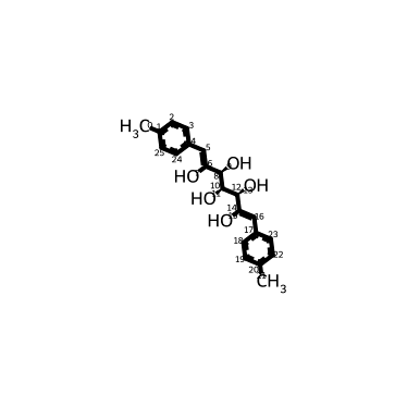 Cc1ccc(C=C(O)[C@@H](O)[C@H](O)[C@@H](O)C(O)=Cc2ccc(C)cc2)cc1